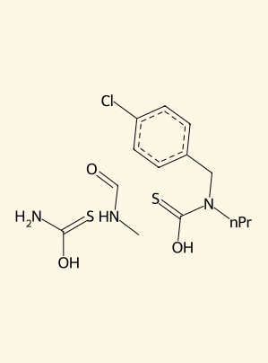 CCCN(Cc1ccc(Cl)cc1)C(O)=S.CNC=O.NC(O)=S